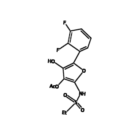 CCS(=O)(=O)Nc1oc(-c2cccc(F)c2F)c(O)c1OC(C)=O